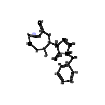 CC1CO/C=C/C(=O)CC1n1nnn(Cc2ccccc2)c1=S